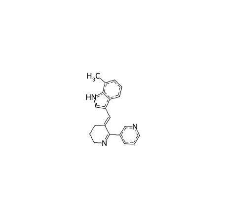 Cc1cccc2c(C=C3CCCN=C3c3cccnc3)c[nH]c12